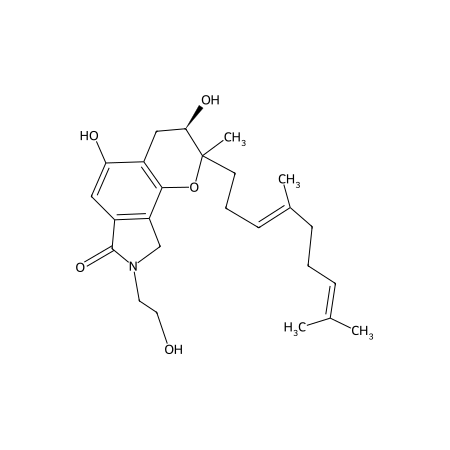 CC(C)=CCC/C(C)=C/CCC1(C)Oc2c(c(O)cc3c2CN(CCO)C3=O)C[C@H]1O